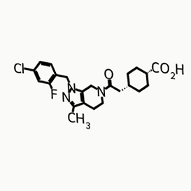 Cc1nn(Cc2ccc(Cl)cc2F)c2c1CCN(C(=O)C[C@H]1CC[C@@H](C(=O)O)CC1)C2